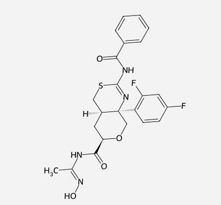 CC(=NO)NC(=O)[C@H]1C[C@H]2CSC(NC(=O)c3ccccc3)=N[C@@]2(c2ccc(F)cc2F)CO1